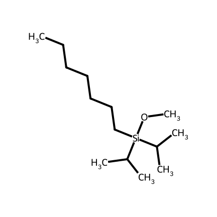 CCCCCCC[Si](OC)(C(C)C)C(C)C